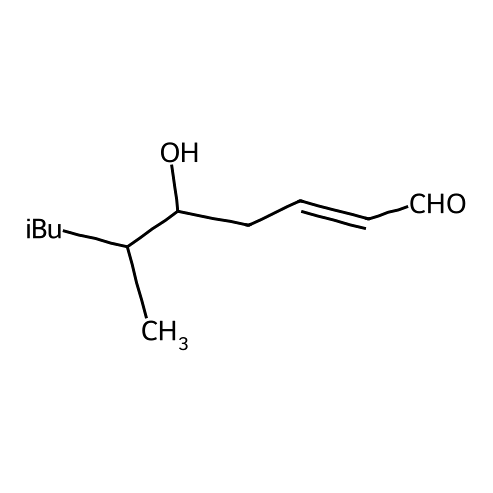 CCC(C)C(C)C(O)CC=CC=O